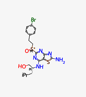 CC(C)C[C@H](CO)Nc1nc([S@@+]([O-])CCc2ccc(Br)cc2)nc2nc(N)sc12